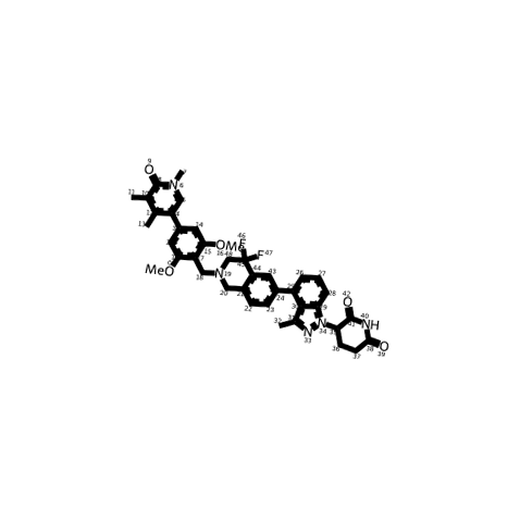 COc1cc(-c2cn(C)c(=O)c(C)c2C)cc(OC)c1CN1Cc2ccc(-c3cccc4c3c(C)nn4C3CCC(=O)NC3=O)cc2C(F)(F)C1